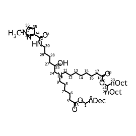 CCCCCCCCCCCOC(=O)CCCCCN(CCCCCCCC(=O)OC(CCCCCCCC)CCCCCCCC)CC(O)CCCCNC(=O)c1ccn(C)n1